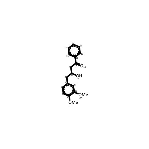 COc1ccc(CC(O)CC(=O)c2ccccc2)cc1OC